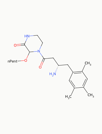 CCCCCOC1C(=O)NCCN1C(=O)C[C@@H](N)Cc1cc(C)c(C)cc1C